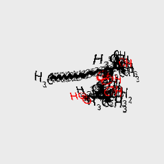 C=C.CC(C)(C)c1cc(CCC(=O)O)cc(C(C)(C)C)c1O.CCCCCCCCCCCCCCCCCCC(CC(=O)O)c1cc(C(C)(C)C)c(O)c(C(C)(C)C)c1